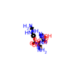 N=C(NC1CC(N)C1)c1ccc(OC[C@H](ON=C(C(=O)N[C@@H]2C(=O)N(S(=O)(=O)O)[C@H]2Cn2cncn2)c2csc(N)n2)C(=O)O)cc1